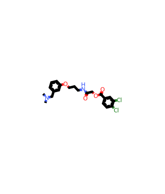 CN(C)Cc1cccc(OCCCNC(=O)COC(=O)c2ccc(Cl)c(Cl)c2)c1